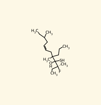 CCCC(C)(C/C=C\CC(C)CC)C(O)(S)[C@@](C)(F)CC